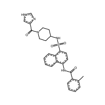 Cc1ccccc1C(=O)Nc1ccc(S(=O)(=O)NC2CCN(C(=O)c3c[nH]cn3)CC2)c2ccccc12